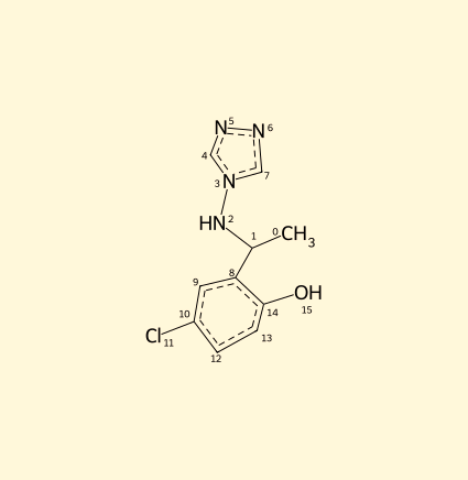 CC(Nn1cnnc1)c1cc(Cl)ccc1O